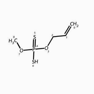 C=CCOP(=S)(S)OC